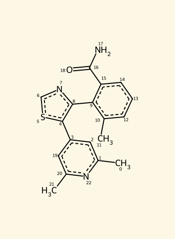 Cc1cc(-c2scnc2-c2c(C)cccc2C(N)=O)cc(C)n1